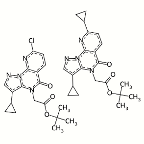 CC(C)(C)OC(=O)Cn1c(=O)c2ccc(C3CC3)nc2n2ncc(C3CC3)c12.CC(C)(C)OC(=O)Cn1c(=O)c2ccc(Cl)nc2n2ncc(C3CC3)c12